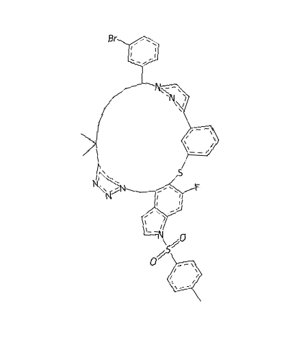 Cc1ccc(S(=O)(=O)n2ccc3c4c(c(F)cc32)Sc2cccc(c2)-c2ccn(n2)C(c2cccc(Br)c2)CCCCC(C)(C)c2cn(nn2)C4)cc1